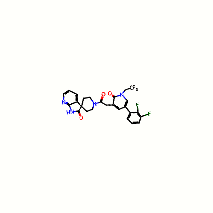 O=C(Cc1cc(-c2cccc(F)c2F)cn(CC(F)(F)F)c1=O)N1CCC2(CC1)C(=O)Nc1ncccc12